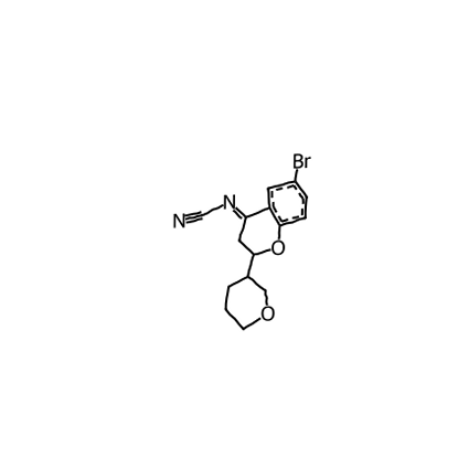 N#C/N=C1\CC(C2CCCOC2)Oc2ccc(Br)cc21